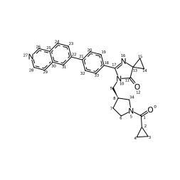 O=C(C1CC1)N1CC[C@@H](CN2C(=O)C3(CC3)N=C2c2ccc(-c3ccc4cnccc4c3)cc2)C1